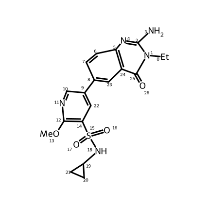 CCn1c(N)nc2ccc(-c3cnc(OC)c(S(=O)(=O)NC4CC4)c3)cc2c1=O